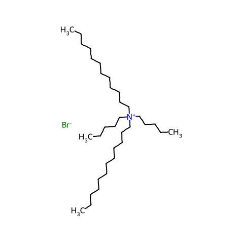 CCCCCCCCCCCC[N+](CCCCC)(CCCCC)CCCCCCCCCCCC.[Br-]